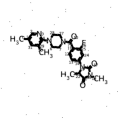 Cc1cnc(N2CCN(C(=O)c3ccc(N4C(=O)N(C)C(=O)C4C)cc3F)CC2)c(C)c1